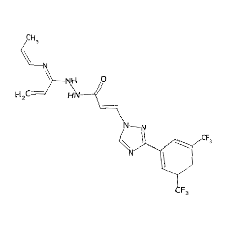 C=C/C(=N\C=C/C)NNC(=O)/C=C/n1cnc(C2=CC(C(F)(F)F)CC(C(F)(F)F)=C2)n1